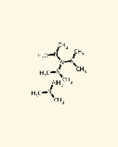 C[N](C)[AlH2].C[N](C)[Al]([N](C)C)[N](C)C